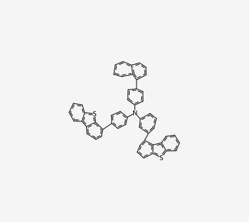 c1cc(-c2cccc3sc4ccccc4c23)cc(N(c2ccc(-c3cccc4ccccc34)cc2)c2ccc(-c3cccc4c3sc3ccccc34)cc2)c1